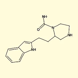 [NH]C(=O)N1CCNCC1CCc1cc2ccccc2[nH]1